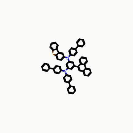 c1ccc(-c2ccc(N(c3ccc(-c4ccccc4)cc3)c3cc(-c4cc5ccccc5c5ccccc45)cc(N(c4ccc(-c5ccccc5)cc4)c4ccc5sc6ccccc6c5c4)c3)cc2)cc1